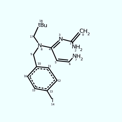 C=C(N)/N=C(\C=C/N)N(Cc1ccc(I)cc1)CC(C)(C)C